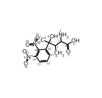 CC(C(N)C(=O)O)C(C)(O)c1cccc([N+](=O)[O-])c1[N+](=O)[O-]